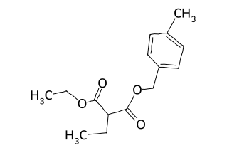 CCOC(=O)C(CC)C(=O)OCc1ccc(C)cc1